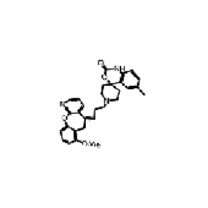 COc1cccc2c1C/C(=C/CCN1CCC3(CC1)OC(=O)Nc1ccc(C)cc13)c1cccnc1O2